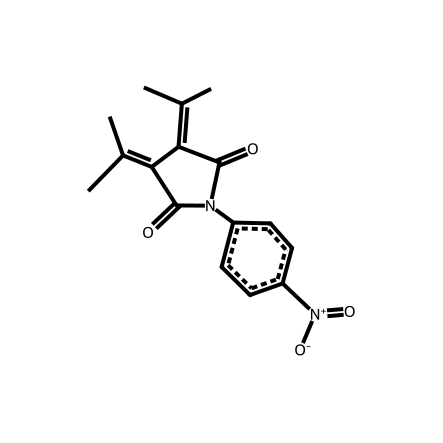 CC(C)=C1C(=O)N(c2ccc([N+](=O)[O-])cc2)C(=O)C1=C(C)C